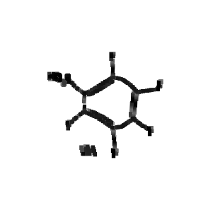 O=S(=O)(O)c1c(F)c(F)c(F)c(F)c1F.[LiH]